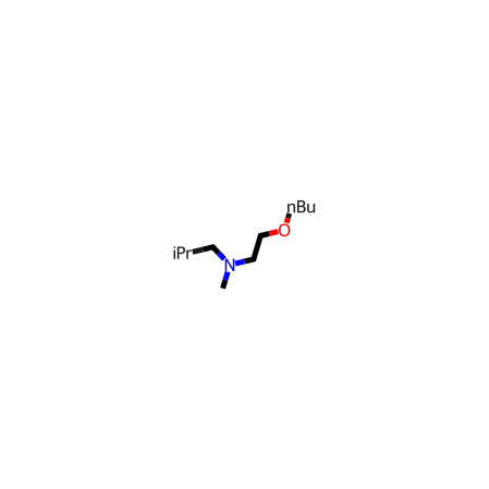 CCCCOCCN(C)CC(C)C